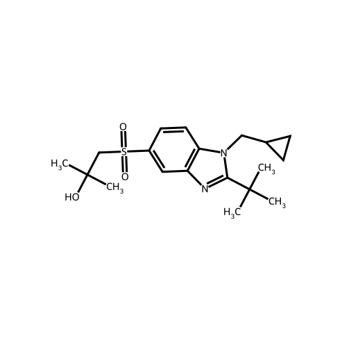 CC(C)(O)CS(=O)(=O)c1ccc2c(c1)nc(C(C)(C)C)n2CC1CC1